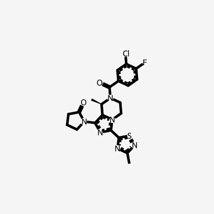 Cc1nsc(-c2nc(N3CCCC3=O)c3n2CCN(C(=O)c2ccc(F)c(Cl)c2)[C@@H]3C)n1